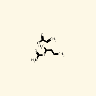 C=CC([O])=O.C=CCC(C)OC(N)=O